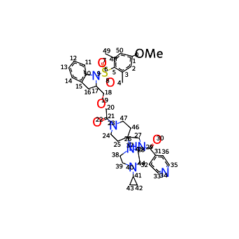 COc1cc(C)c(S(=O)(=O)N2c3ccccc3CC2COCC(=O)N2CCC(CNC(=O)c3ccncc3)(N3CCN(C4CC4)CC3)CC2)c(C)c1